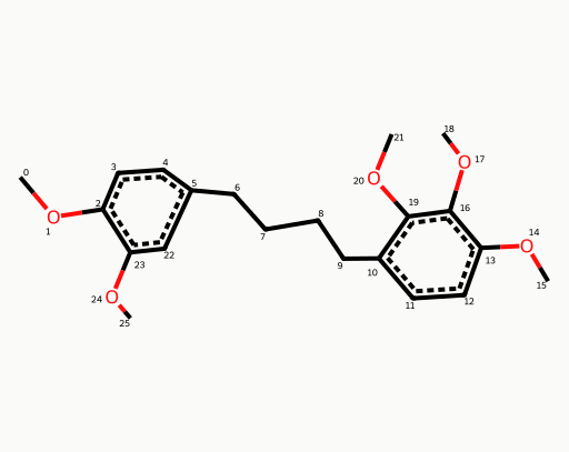 COc1ccc(CCCCc2ccc(OC)c(OC)c2OC)cc1OC